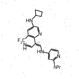 CCCc1cc(N/C=C(\C=N)c2ncc(NC3CCC3)cc2C(F)(F)F)ccn1